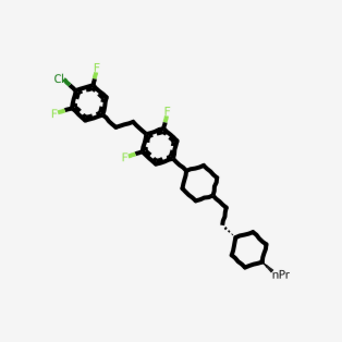 CCC[C@H]1CC[C@H](CCC2CCC(c3cc(F)c(CCc4cc(F)c(Cl)c(F)c4)c(F)c3)CC2)CC1